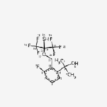 CC(C)(O)c1cccc(F)c1COC(S)(C(F)(F)F)C(F)(F)F